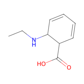 CCNC1C=CC=CC1C(=O)O